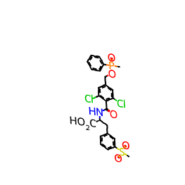 CP(=O)(OCc1cc(Cl)c(C(=O)N[C@@H](Cc2cccc(S(C)(=O)=O)c2)C(=O)O)c(Cl)c1)c1ccccc1